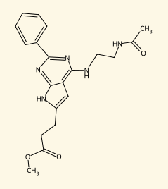 COC(=O)CCc1cc2c(NCCNC(C)=O)nc(-c3ccccc3)nc2[nH]1